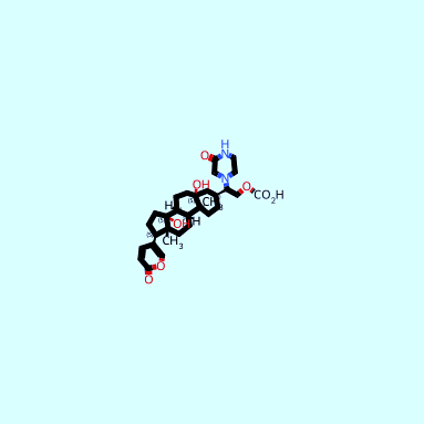 C[C@]12CC[C@H](C(COC(=O)O)N3CCNC(=O)C3)C[C@@]1(O)CC[C@@H]1[C@@H]2CC[C@]2(C)[C@@H](c3ccc(=O)oc3)CC[C@]12O